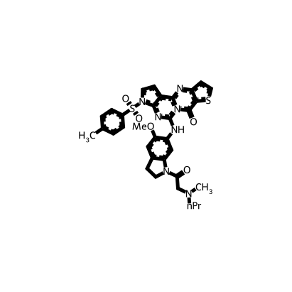 CCCN(C)CC(=O)N1CCc2cc(OC)c(Nc3nc4c(ccn4S(=O)(=O)c4ccc(C)cc4)c4nc5ccsc5c(=O)n34)cc21